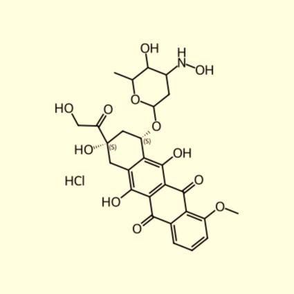 COc1cccc2c1C(=O)c1c(O)c3c(c(O)c1C2=O)C[C@@](O)(C(=O)CO)C[C@@H]3OC1CC(NO)C(O)C(C)O1.Cl